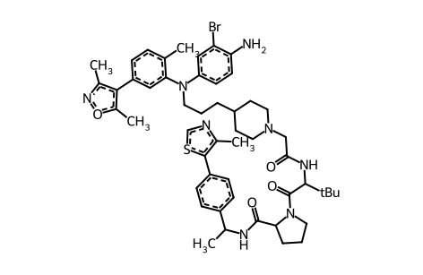 Cc1ccc(-c2c(C)noc2C)cc1N(CCCC1CCN(CC(=O)NC(C(=O)N2CCCC2C(=O)NC(C)c2ccc(-c3scnc3C)cc2)C(C)(C)C)CC1)c1ccc(N)c(Br)c1